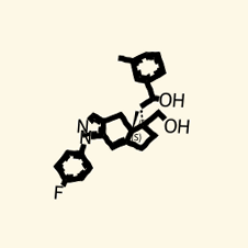 Cc1cccc(C(O)C[C@]2(CO)CCC3=Cc4c(cnn4-c4ccc(F)cc4)C[C@@]32C)c1